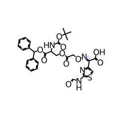 CC(C)(C)OC(=O)NC(COC(=O)CO/N=C(/C(=O)O)c1csc(NC=O)n1)C(=O)OC(c1ccccc1)c1ccccc1